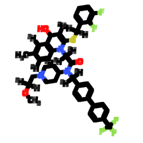 [2H]C1=C(SC([2H])([2H])c2cccc(F)c2F)N(C([2H])([2H])C(=O)N(C2CCN(CC([2H])([2H])OC)CC2)C([2H])([2H])c2ccc(-c3ccc(C(F)(F)F)cc3)cc2)c2c([2H])c([2H])c(C)c([2H])c2C1O